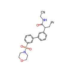 CC(C)CC(C(=O)NCC#N)c1cccc(-c2cccc(S(=O)(=O)N3CCOCC3)c2)c1